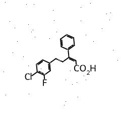 O=C(O)/C=C(\CCc1ccc(Cl)c(F)c1)c1ccccc1